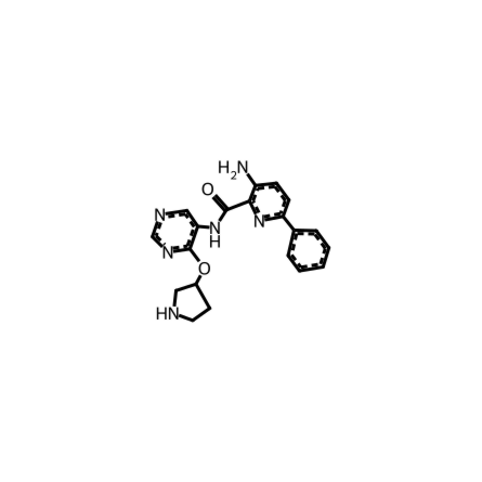 Nc1ccc(-c2ccccc2)nc1C(=O)Nc1cncnc1OC1CCNC1